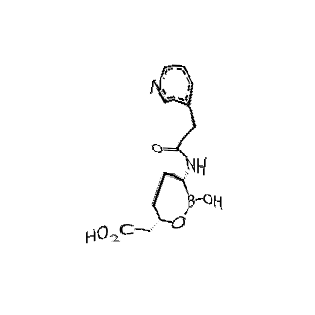 O=C(O)C[C@@H]1CC[C@H](NC(=O)Cc2cccnc2)B(O)O1